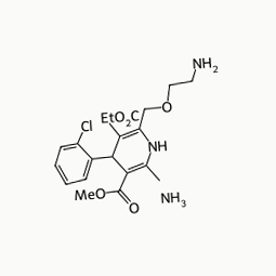 CCOC(=O)C1=C(COCCN)NC(C)=C(C(=O)OC)C1c1ccccc1Cl.N